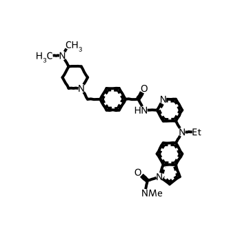 CCN(c1ccnc(NC(=O)c2ccc(CN3CCC(N(C)C)CC3)cc2)c1)c1ccc2c(ccn2C(=O)NC)c1